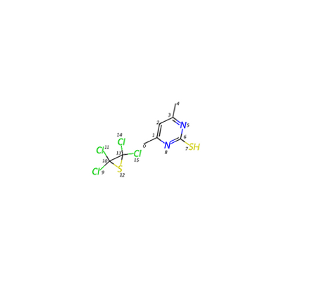 Cc1cc(C)nc(S)n1.ClC1(Cl)SC1(Cl)Cl